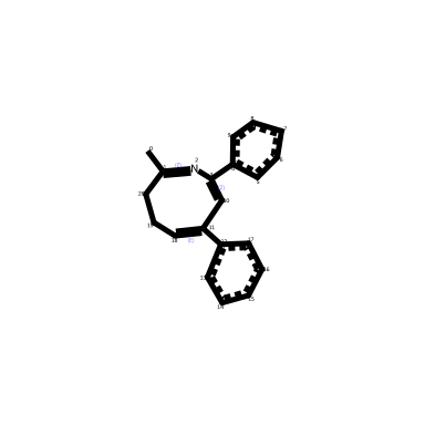 C/C1=N/C(c2ccccc2)=C\C(c2ccccc2)=C/CC1